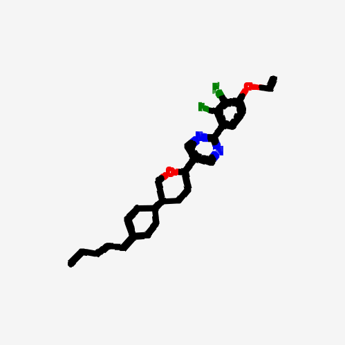 CCCCCC1CCC(C2CCC(c3cnc(-c4ccc(OCC)c(F)c4F)nc3)OC2)CC1